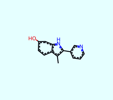 Cc1c(-c2cccnc2)[nH]c2cc(O)ccc12